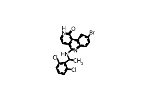 CC(Nc1nc2ccc(Br)cc2c2c(=O)[nH]ccc12)c1c(Cl)cccc1Cl